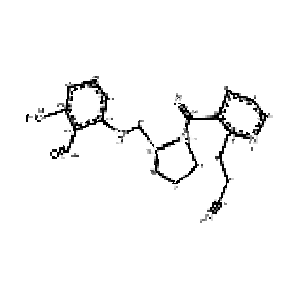 N#CCCc1ncccc1C(=O)N1CCC[C@H]1COc1cccc(O)c1C=O